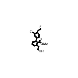 COC(=O)c1c(CCO)cccc1-c1ccc(CCF)c(Cl)c1